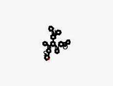 c1ccc(N(c2cc(-c3ccc4c(c3)c3ccccc3n4-c3ccccc3)cc(N(c3ccccc3)c3ccc4c(c3)sc3ccccc34)c2)c2ccc3c(c2)oc2ccccc23)cc1